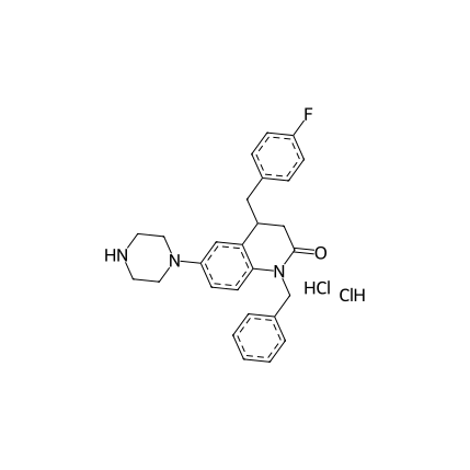 Cl.Cl.O=C1CC(Cc2ccc(F)cc2)c2cc(N3CCNCC3)ccc2N1Cc1ccccc1